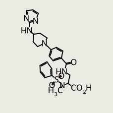 CN(C(CNC(=O)c1ccc(N2CCC(Nc3ncccn3)CC2)cc1)C(=O)O)S(=O)(=O)c1ccccc1